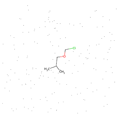 CC(C)COCCl